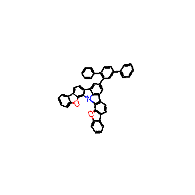 c1ccc(-c2ccc(-c3ccccc3)c(-c3cc4c5ccc6c7ccccc7oc6c5n5c4c(c3)c3ccc4c6ccccc6oc4c35)c2)cc1